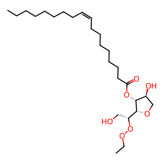 CCCCCCCC/C=C\CCCCCCCC(=O)O[C@H]1[C@@H]([C@@H](CO)OOCC)OC[C@@H]1O